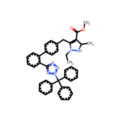 CCN1NC(C)C(C(=O)OC)=C1Cc1ccc(-c2ccccc2-c2nnn(C(c3ccccc3)(c3ccccc3)c3ccccc3)n2)cc1